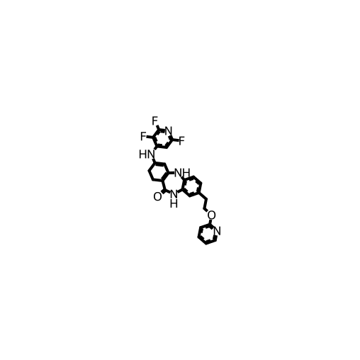 O=C1Nc2cc(CCOc3ccccn3)ccc2NC2=C1CCC(Nc1cc(F)nc(F)c1F)=C2